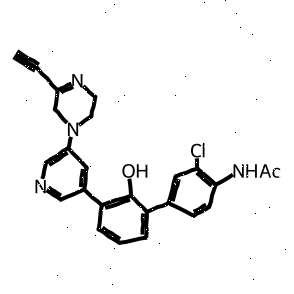 C#CC1=NCCN(c2cncc(-c3cccc(-c4ccc(NC(C)=O)c(Cl)c4)c3O)c2)C1